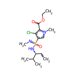 C=C[C@H](NS(=O)(=NC)c1cn(C)c(C(=O)OCC)c1Cl)C(C)C